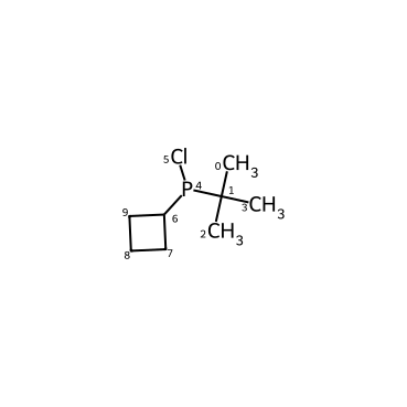 CC(C)(C)P(Cl)C1CCC1